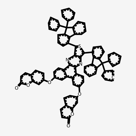 O=c1ccc2ccc(Oc3ccc4c(c3)c3cc(Oc5ccc6ccc(=O)oc6c5)ccc3c3nc5c(-c6cccc7c6-c6ccccc6C7(c6ccccc6)c6ccccc6)sc(-c6cccc7c6-c6ccccc6C7(c6ccccc6)c6ccccc6)c5nc43)cc2o1